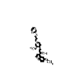 COc1ccc2nccc([C@@H](O)CC[C@@H]3CCN(CCCSc4cnccn4)C[C@@H]3CO)c2c1